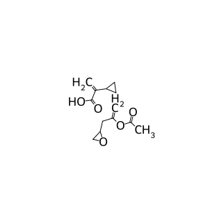 C=C(C(=O)O)C1CC1.C=C(CC1CO1)OC(C)=O